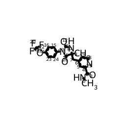 CNC(=O)c1cc(CC2(C)NC(=O)N(c3ccc(OC(F)(F)F)cc3)C2=O)ccn1